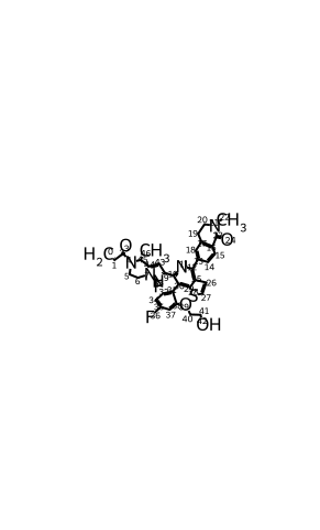 C=CC(=O)N1CCn2nc(-c3nc(-c4ccc5c(c4)CCN(C)C5=O)c4ccsc4c3-c3c(F)cc(F)cc3OCCO)cc2C1C